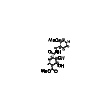 COC(=O)c1ccc(C(=O)NCc2ccccc2OC)c(O)c1O